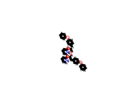 c1ccc(Oc2ccc(C[C@H](COC[C@@H](Cc3ccc(Oc4ccccc4)cc3)Oc3ccccn3)Oc3ccccn3)cc2)cc1